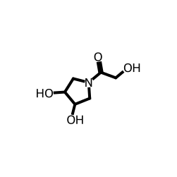 O=C(CO)N1CC(O)C(O)C1